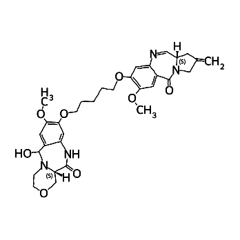 C=C1C[C@H]2C=Nc3cc(OCCCCCOc4cc5c(cc4OC)C(O)N4CCOC[C@H]4C(=O)N5)c(OC)cc3C(=O)N2C1